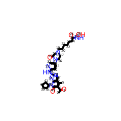 CC(=O)c1c(C)c2cnc(Nc3ccc(N4CCN(CCCCCCC(=O)NO)CC4=O)cn3)nc2n(C2CCCC2)c1=O